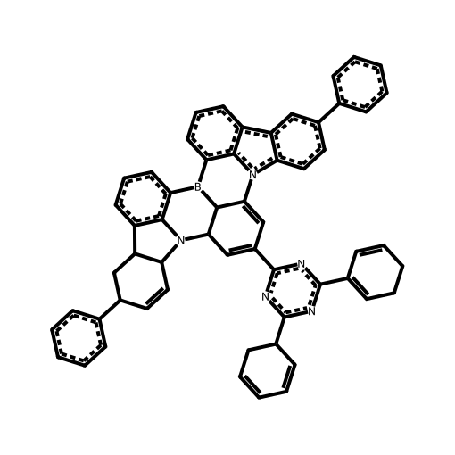 C1=CCC(c2nc(C3=CCCC=C3)nc(C3=CC4C5B(c6cccc7c6N4C4C=CC(c6ccccc6)CC74)c4cccc6c7cc(-c8ccccc8)ccc7n(c46)C5=C3)n2)C=C1